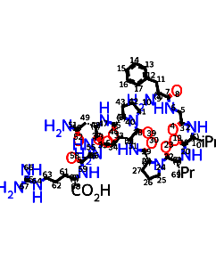 CC(C)[C@H](NC(=O)CNC(=O)[C@@H](N)Cc1ccccc1)C(=O)N[C@H](C(=O)N1CCC[C@H]1C(=O)N[C@@H](CCC(N)=O)C(=O)N1CCC[C@H]1C(=O)N[C@@H](CC(N)=O)C(=O)NCC(=O)N[C@@H](CCCNC(=N)N)C(=O)O)C(C)C